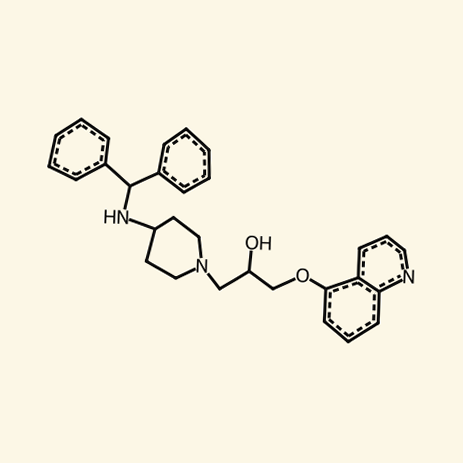 OC(COc1cccc2ncccc12)CN1CCC(NC(c2ccccc2)c2ccccc2)CC1